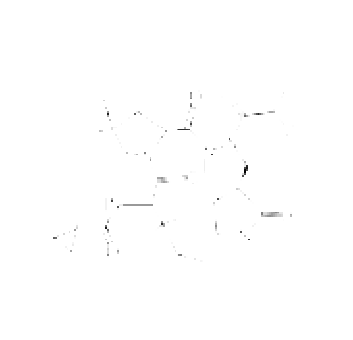 CCC(C)(C)C(NC(=O)C1(F)CC1)C(=O)N1CC(C)(C)C[C@H]1C(=O)NN(C[C@@H]1CCNC1=O)C(=O)C(F)Cl